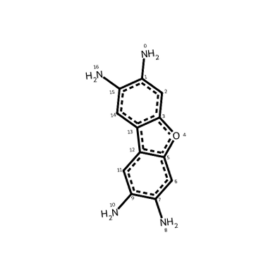 Nc1cc2oc3cc(N)c(N)cc3c2cc1N